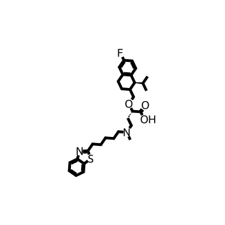 CC(C)[C@@H]1c2ccc(F)cc2CCC1CO[C@@H](CCN(C)CCCCCc1nc2ccccc2s1)C(=O)O